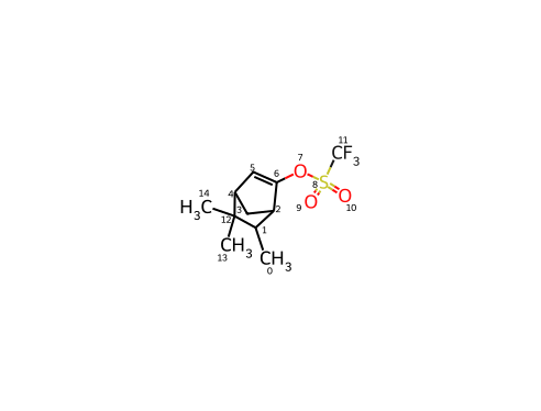 CC1C2CC(C=C2OS(=O)(=O)C(F)(F)F)C1(C)C